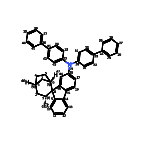 CC[C@@H]1C[C@@H]2CC[C@@H](C2)C12c1ccccc1-c1ccc(N(c3ccc(-c4ccccc4)cc3)c3ccc(-c4ccccc4)cc3)cc12